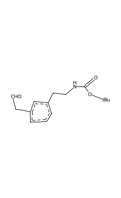 CC(C)(C)OC(=O)NCCc1cccc(CC=O)c1